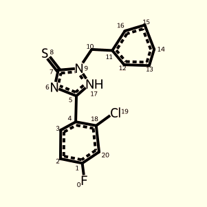 Fc1ccc(-c2nc(=S)n(Cc3ccccc3)[nH]2)c(Cl)c1